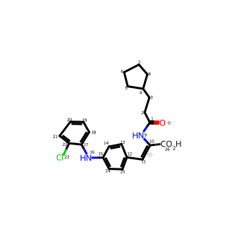 O=C(CCC1CCCC1)N/C(=C\c1ccc(Nc2ccccc2Cl)cc1)C(=O)O